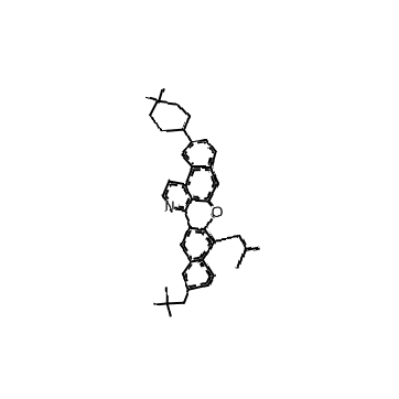 CC(C)Cc1c2c(cc3cc(CC(C)(C)C)ccc13)-c1nccc3c1c(cc1ccc(C4CCC(C)(C)CC4)cc13)O2